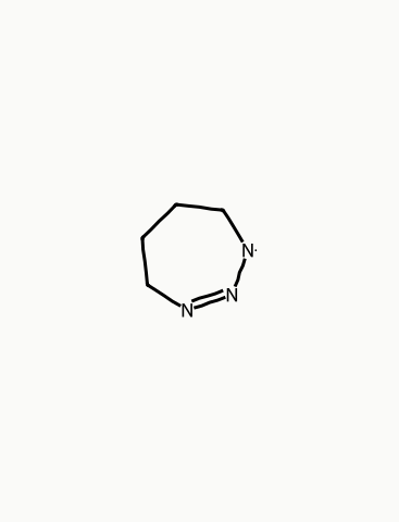 C1CCN=N[N]C1